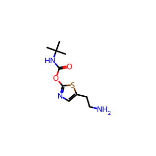 CC(C)(C)NC(=O)Oc1ncc(CCN)s1